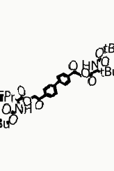 CC(C)[C@H](NC(=O)OC(C)(C)C)C(=O)OCC(=O)c1ccc(-c2ccc(C(=O)COC(=O)C(NC(=O)OC(C)(C)C)C(C)(C)C)cc2)cc1